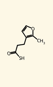 Cc1occc1CCC(=O)S